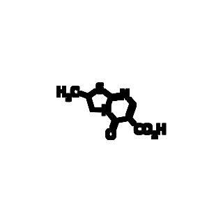 CC1Cn2c(ncc(C(=O)O)c2=O)S1